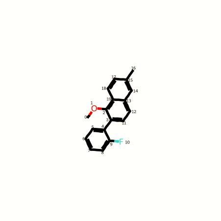 COc1c(-c2ccccc2F)ccc2cc(C)ccc12